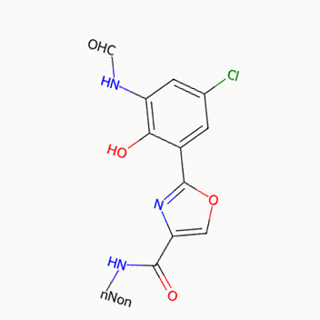 CCCCCCCCCNC(=O)c1coc(-c2cc(Cl)cc(NC=O)c2O)n1